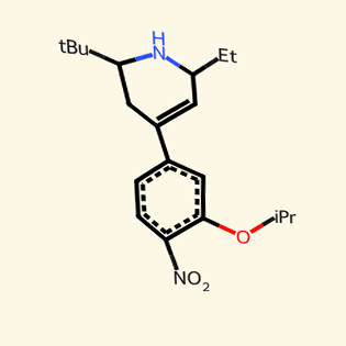 CCC1C=C(c2ccc([N+](=O)[O-])c(OC(C)C)c2)CC(C(C)(C)C)N1